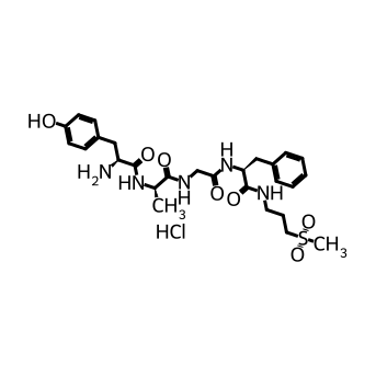 C[C@@H](NC(=O)[C@@H](N)Cc1ccc(O)cc1)C(=O)NCC(=O)N[C@@H](Cc1ccccc1)C(=O)NCCCS(C)(=O)=O.Cl